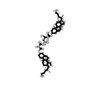 CCC(NC(=O)O[C@H]1CC[C@@]2(C)C(=CC[C@H]3[C@@H]4CC[C@H]([C@H](C)CCCC(C)C)[C@@]4(C)CC[C@@H]32)C1)O[PH](=O)OC(CC)NC(=O)O[C@H]1CC[C@@]2(C)C(=CC[C@H]3[C@@H]4CC[C@H]([C@H](C)CCCC(C)C)[C@@]4(C)CC[C@@H]32)C1